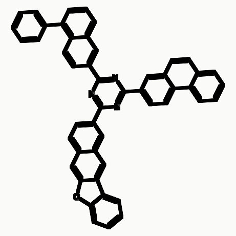 c1ccc(-c2cccc3cc(-c4nc(-c5ccc6cc7oc8ccccc8c7cc6c5)nc(-c5ccc6c(ccc7ccccc76)c5)n4)ccc23)cc1